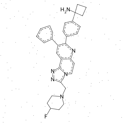 NC1(c2ccc(-c3nc4ccn5c(CN6CCC(F)CC6)nnc5c4cc3-c3ccccc3)cc2)CCC1